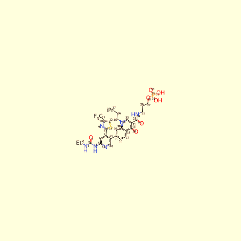 CCNC(=O)Nc1cc(-c2nc(C(F)(F)F)cs2)c(-c2ccc3c(=O)c(C(=O)NCCCOP(=O)(O)O)cn(CCC(C)C)c3c2)cn1